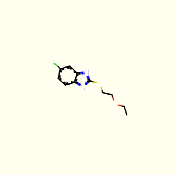 CCOCC[S+]([O-])c1nc2cc(Cl)ccc2[nH]1